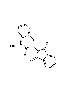 CONC(=O)C(Cc1ccccc1)N1C(=O)c2ccccc2C1=O